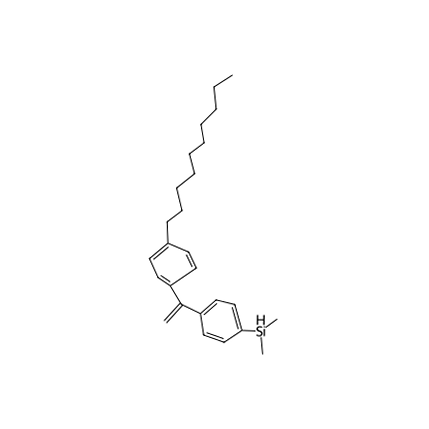 C=C(c1ccc(CCCCCCCCCC)cc1)c1ccc([SiH](C)C)cc1